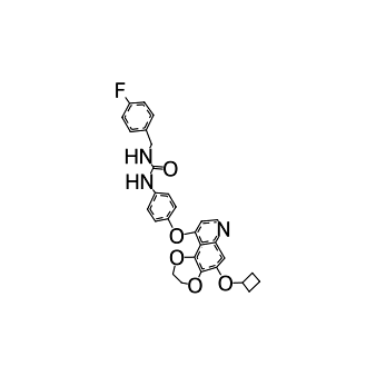 O=C(NCc1ccc(F)cc1)Nc1ccc(Oc2ccnc3cc(OC4CCC4)c4c(c23)OCCO4)cc1